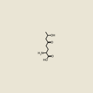 CC(O)CC(=O)CCC(N)C(=O)O